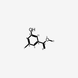 C=C(OC)c1cc(C)cc(O)c1